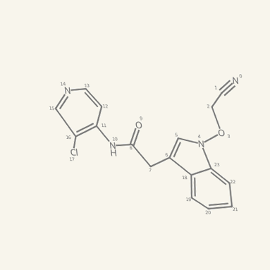 N#CCOn1cc(CC(=O)Nc2ccncc2Cl)c2ccccc21